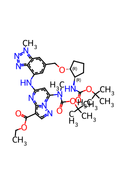 CCOC(=O)c1cnn2c(N(C)C(=O)OC(C)(C)C)cc(Nc3cc(CO[C@@H]4CCC[C@H]4NC(=O)OC(C)(C)C)cc4c3nnn4C)nc12